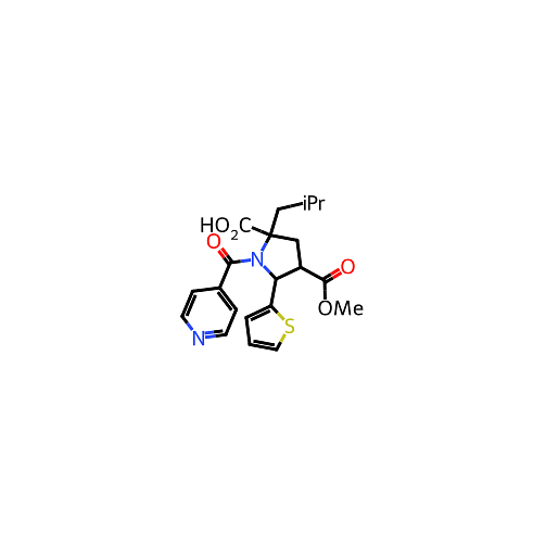 COC(=O)C1CC(CC(C)C)(C(=O)O)N(C(=O)c2ccncc2)C1c1cccs1